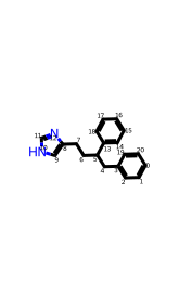 c1ccc(CC(CCc2c[nH]cn2)c2ccccc2)cc1